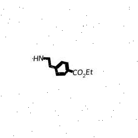 CCOC(=O)c1ccc(CC[NH])cc1